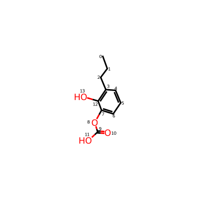 CCCc1cccc(OC(=O)O)c1O